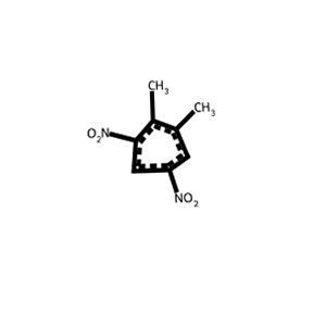 Cc1cc([N+](=O)[O-])cc([N+](=O)[O-])c1C